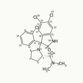 CN(C)C(=O)[C@@H]1CCCN1C1(c2ccccc2Cl)C(=O)Nc2cc(Cl)c(Cl)cc21